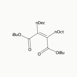 CCCCCCCCCC/C(C(=O)OCC(C)C)=C(\CCCCCCCC)C(=O)OCC(C)C